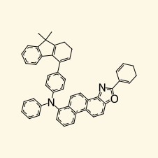 CC1(C)C2=C(C(c3ccc(N(c4ccccc4)c4cccc5c4ccc4c5ccc5oc(C6=CCCC=C6)nc54)cc3)=CCC2)c2ccccc21